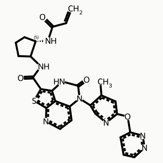 C=CC(=O)N[C@H]1CCCC1NC(=O)c1sc2nccc3c2c1NC(=O)N3c1cnc(Oc2cccnn2)cc1C